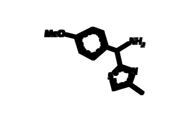 COc1ccc(C(N)c2nc(C)cs2)cc1